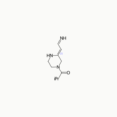 CC(C)C(=O)N1CCN/C(=C\C=N)C1